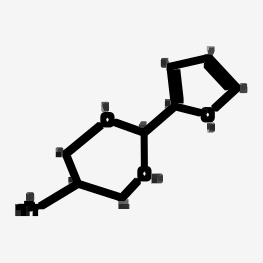 CCCC1COC(c2ccco2)OC1